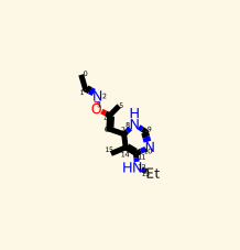 C/C=N/O/C(C)=C/C1NC=NC(NCC)=C1C